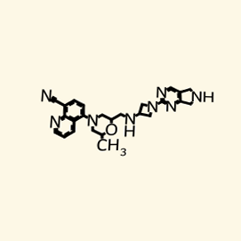 CC1CN(c2ccc(C#N)c3ncccc23)CC(CNC2CN(c3ncc4c(n3)CNC4)C2)O1